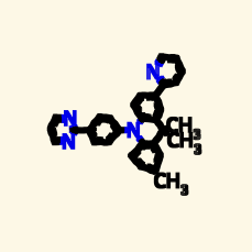 Cc1ccc2c(c1)C(C)(C)c1cc(-c3ccccn3)ccc1N2c1ccc(-c2ncccn2)cc1